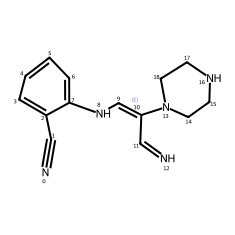 N#Cc1ccccc1N/C=C(\C=N)N1CCNCC1